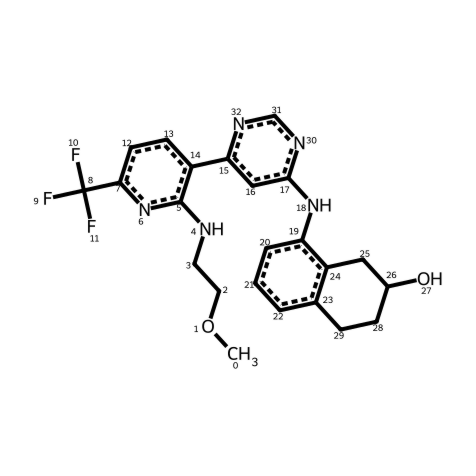 COCCNc1nc(C(F)(F)F)ccc1-c1cc(Nc2cccc3c2CC(O)CC3)ncn1